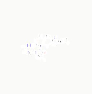 Cc1nc(C)c(CCn2c(=O)c3nccnc3n(C)c2=O)s1